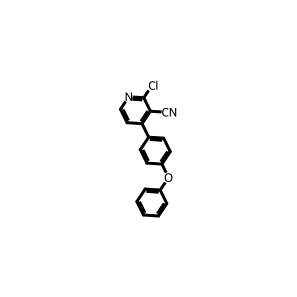 N#Cc1c(-c2ccc(Oc3ccccc3)cc2)ccnc1Cl